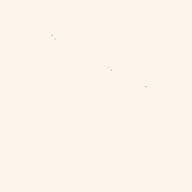 O=C(Nc1ccc2ncccc2c1)C(Br)c1cccc(Cl)c1